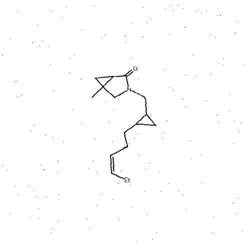 CC/C=C\CCC1CC1CN1CC2(C)CC2C1=O